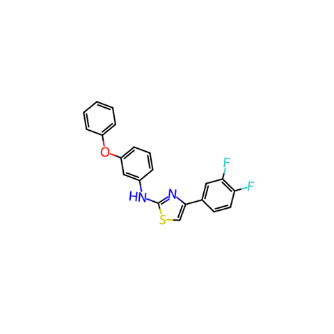 Fc1ccc(-c2csc(Nc3cccc(Oc4ccccc4)c3)n2)cc1F